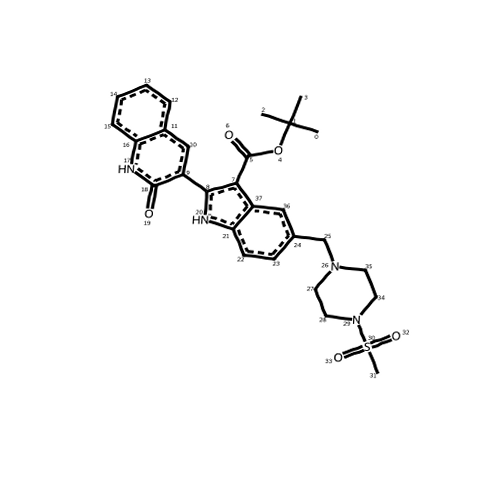 CC(C)(C)OC(=O)c1c(-c2cc3ccccc3[nH]c2=O)[nH]c2ccc(CN3CCN(S(C)(=O)=O)CC3)cc12